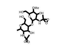 COC1C(CO)OC(OC2C(CO)OC(C)C(NC3(C)OO3)C2O)C(NC2(C)OO2)C1O